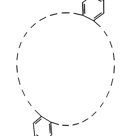 c1ccc2c(c1)COCCOCCOCCOCc1ccccc1COCCOCCOCCOC2